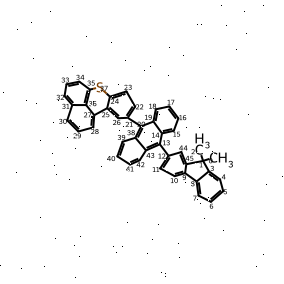 CC1(C)c2ccccc2-c2ccc(-c3c4ccccc4c(-c4ccc5c(c4)-c4cccc6cccc(c46)S5)c4ccccc34)cc21